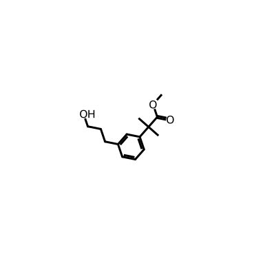 COC(=O)C(C)(C)c1cccc(CCCO)c1